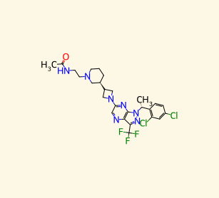 CC(=O)NCCN1CCC[C@@H](C2CN(c3cnc4c(C(F)(F)F)nn([C@H](C)c5ccc(Cl)cc5Cl)c4n3)C2)C1